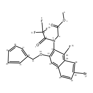 COC(=O)CN(C(=O)C(F)(F)F)c1c(OCc2ccccc2)cc2ccc(Br)cc2c1F